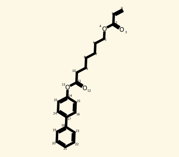 C=CC(=O)OCCCCCCC(=O)Oc1ccc(-c2ccccc2)cc1